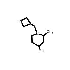 CC1CC(O)CCN1CC1CNC1